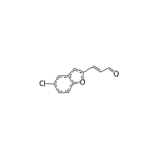 O=CC=Cc1cc2cc(Cl)ccc2o1